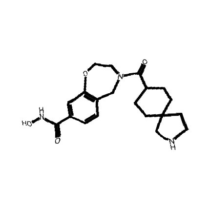 O=C(NO)c1ccc2c(c1)OCCN(C(=O)C1CCC3(CCNC3)CC1)C2